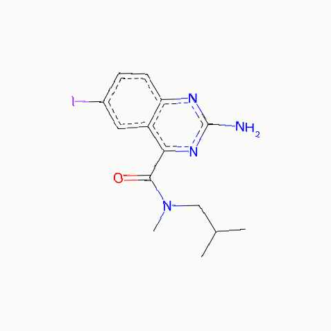 CC(C)CN(C)C(=O)c1nc(N)nc2ccc(I)cc12